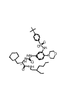 CCCCC(CC)CNC(=O)[C@@H](CC1CCCCC1)NC(=O)Nc1ccc(N2CCOCC2)c(NS(=O)(=O)c2ccc(C(C)(C)C)cc2)c1